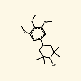 COc1cc(C2CC(C)(C)N(O)C(C)(C)C2)cc(OC)c1OC